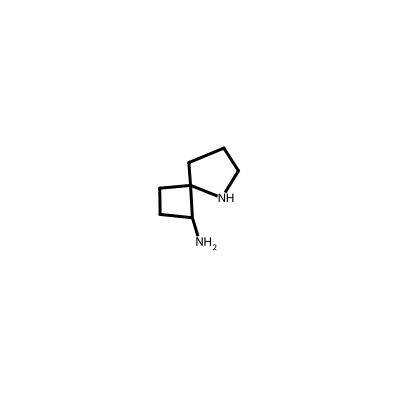 NC1CCC12CCCN2